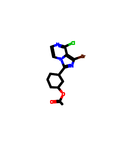 CC(=O)OC1CCCC(c2nc(Br)c3c(Cl)nccn23)C1